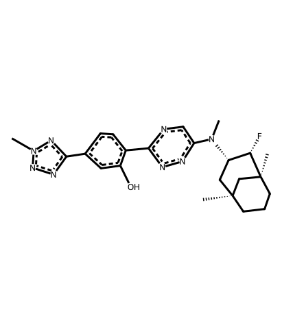 CN(c1cnc(-c2ccc(-c3nnn(C)n3)cc2O)nn1)[C@H]1C[C@]2(C)CCC[C@@](C)(C2)[C@H]1F